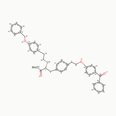 COC(=O)C(Cc1ccc(CCOc2ccc(C(=O)c3ccccc3)cc2)cc1)SCCc1ccc(OCc2ccccc2)cc1